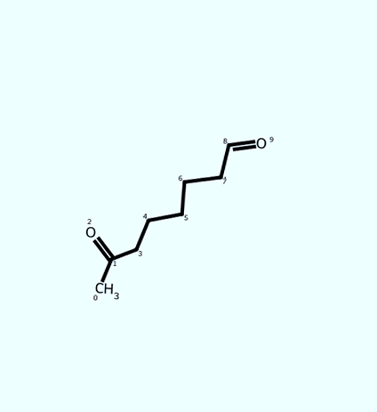 CC(=O)CCCC[CH]C=O